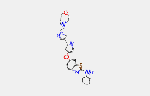 c1cc(Oc2ccc3nc(NC4CCCCC4)sc3c2)cc(-c2cnn(CCN3CCOCC3)c2)n1